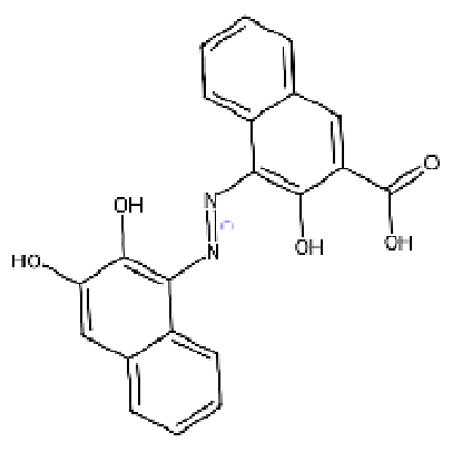 O=C(O)c1cc2ccccc2c(/N=N/c2c(O)c(O)cc3ccccc23)c1O